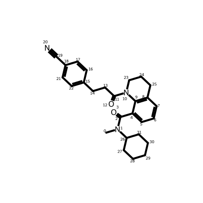 CN(C(=O)c1cccc2c1N(C(=O)CCc1ccc(C#N)cc1)CCC2)C1CCCCC1